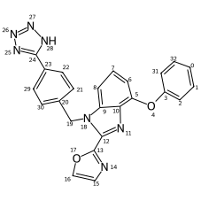 c1ccc(Oc2cccc3c2nc(-c2ncco2)n3Cc2ccc(-c3nnn[nH]3)cc2)cc1